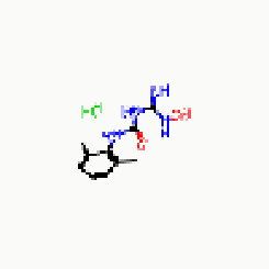 Cc1cccc(C)c1NC(=O)NC(=N)NO.Cl